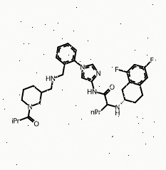 CCCC(N[C@H]1CCc2cc(F)cc(F)c2C1)C(=O)Nc1cn(-c2ccccc2CNCC2CCCN(C(=O)C(C)C)C2)cn1